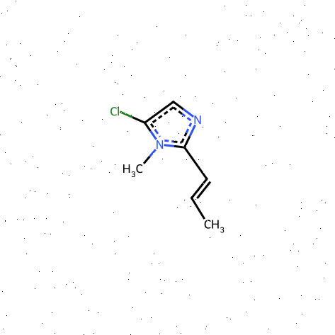 CC=Cc1ncc(Cl)n1C